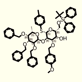 COc1ccc(CO[C@H]2[C@@H](O)[C@@H](CO[Si](c3ccccc3)(c3ccccc3)C(C)(C)C)O[C@@H](Sc3ccc(C)cc3)[C@@H]2O[C@@H]2O[C@@H](C)[C@@H](OCc3ccccc3)[C@@H](OCc3ccccc3)[C@@H]2OCc2ccccc2)cc1